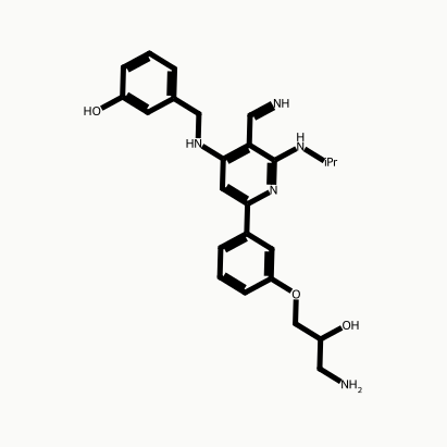 CC(C)Nc1nc(-c2cccc(OCC(O)CN)c2)cc(NCc2cccc(O)c2)c1C=N